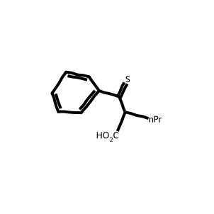 CCCC(C(=O)O)C(=S)c1ccccc1